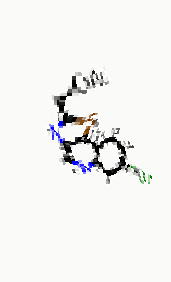 CC(=O)OCc1nc2cnc3cc(Br)ccc3c2s1